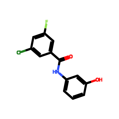 O=C(Nc1cccc(O)c1)c1cc(F)cc(Cl)c1